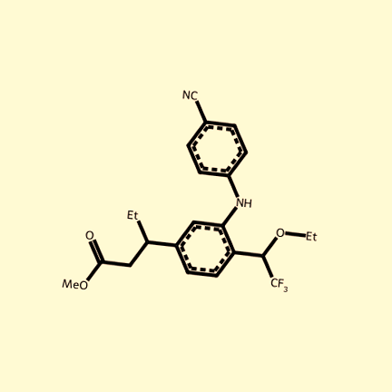 CCOC(c1ccc(C(CC)CC(=O)OC)cc1Nc1ccc(C#N)cc1)C(F)(F)F